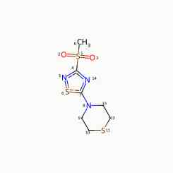 CS(=O)(=O)c1nsc(N2CCSCC2)n1